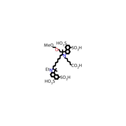 CCN1c2ccc3c(S(=O)(=O)O)cc(S(=O)(=O)O)cc3c2C(C)(C)C1C=CC=CC=CC=C1N(CCCCCC(=O)O)c2ccc3c(S(=O)(=O)O)cc(S(=O)(=O)O)cc3c2C1(C)CCOCCOC